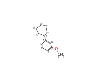 COc1cc[c]c(C2CCCCC2)c1